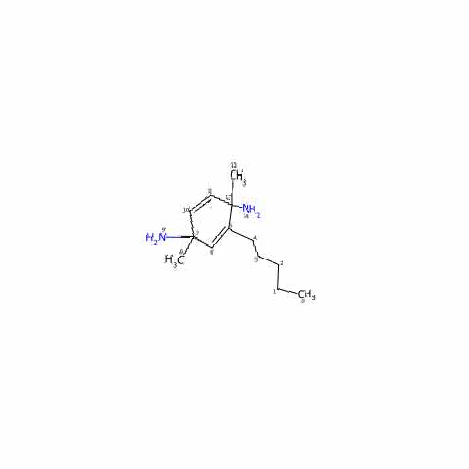 CCCCCC1=CC(C)(N)C=CC1(C)N